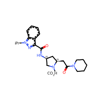 CC(C)n1nc(C(=O)N[C@H]2C[C@@H](CC(=O)N3CCCCC3)N(C(=O)O)C2)c2ccccc21